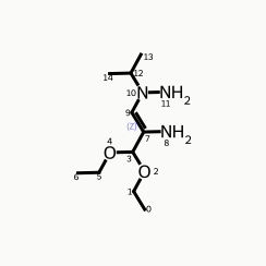 CCOC(OCC)/C(N)=C/N(N)C(C)C